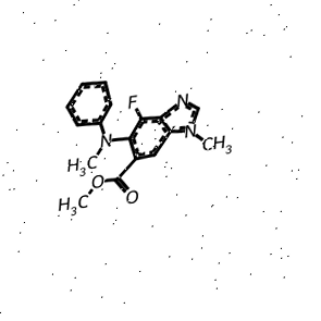 COC(=O)c1cc2c(ncn2C)c(F)c1N(C)c1ccccc1